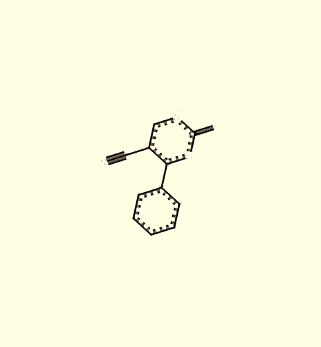 N#Cc1c[nH]c(=O)nc1-c1ccccc1